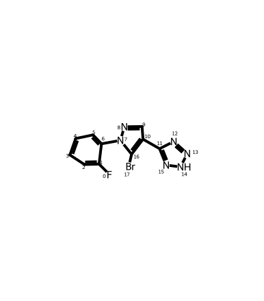 Fc1ccccc1-n1ncc(-c2nn[nH]n2)c1Br